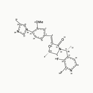 COc1cc(C=C2O[C@@H](C)CN([C@H](C)c3ccnc(F)c3F)C2=O)ccc1-n1cnc(C)c1